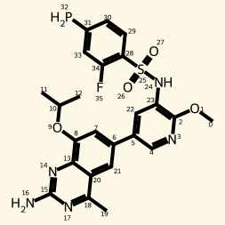 COc1ncc(-c2cc(OC(C)C)c3nc(N)nc(C)c3c2)cc1NS(=O)(=O)c1ccc(P)cc1F